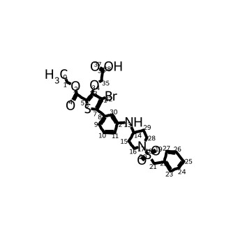 CCOC(=O)c1sc(-c2cccc(NC3CCN(S(=O)(=O)Cc4ccccc4)CC3)c2)c(Br)c1OCC(=O)O